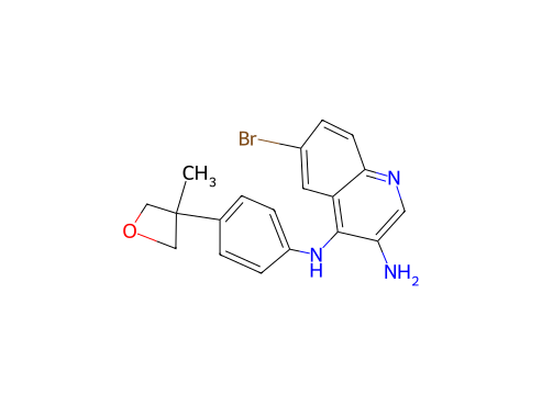 CC1(c2ccc(Nc3c(N)cnc4ccc(Br)cc34)cc2)COC1